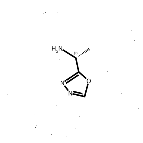 C[C@@H](N)c1nnco1